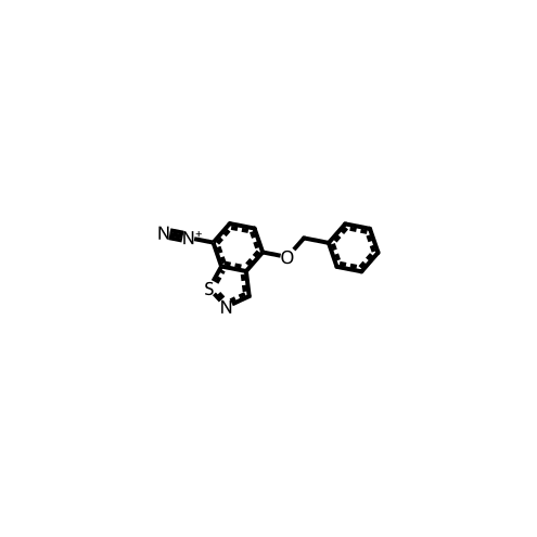 N#[N+]c1ccc(OCc2ccccc2)c2cnsc12